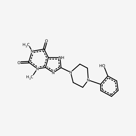 Cn1c(=O)c2[nH]c(N3CCN(c4ccccc4O)CC3)nc2n(C)c1=O